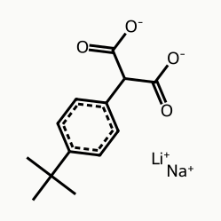 CC(C)(C)c1ccc(C(C(=O)[O-])C(=O)[O-])cc1.[Li+].[Na+]